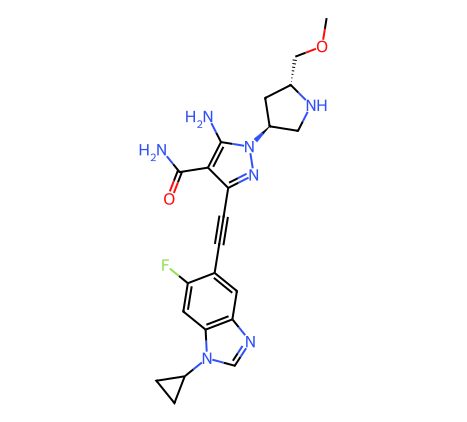 COC[C@H]1C[C@H](n2nc(C#Cc3cc4ncn(C5CC5)c4cc3F)c(C(N)=O)c2N)CN1